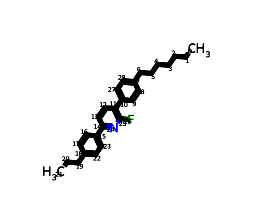 CCCCCCCc1ccc(-c2ccc(-c3ccc(CCC)cc3)nc2F)cc1